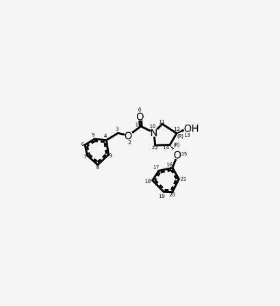 O=C(OCc1ccccc1)N1C[C@@H](O)[C@H](Oc2ccccc2)C1